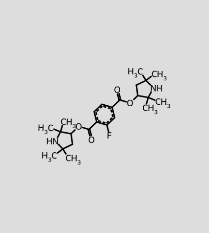 CC1(C)CC(OC(=O)c2ccc(C(=O)OC3CC(C)(C)NC3(C)C)c(F)c2)C(C)(C)N1